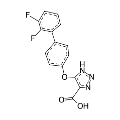 O=C(O)c1nn[nH]c1Oc1ccc(-c2cccc(F)c2F)cc1